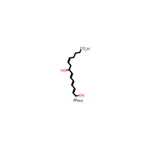 CCCCC[C@@H](O)/C=C/C=C/C=C/C(O)C/C=C\CCCC(=O)O